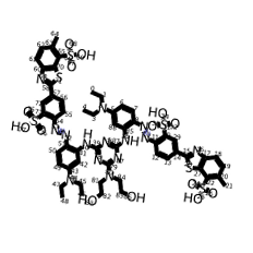 CCN(CC)c1ccc(/N=N/c2ccc(-c3nc4ccc(C)c(S(=O)(=O)O)c4s3)cc2S(=O)(=O)O)c(Nc2nc(Nc3cc(N(CC)CC)ccc3/N=N/c3ccc(-c4nc5ccc(C)c(S(=O)(=O)O)c5s4)cc3S(=O)(=O)O)nc(N(CCO)CCO)n2)c1